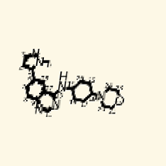 Cn1nccc1-c1ccc2ncnc(NC3CCC(N4CCOCC4)CC3)c2c1